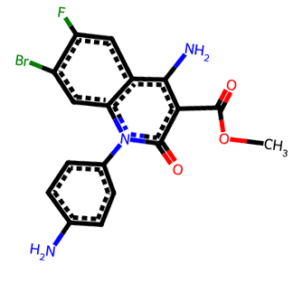 COC(=O)c1c(N)c2cc(F)c(Br)cc2n(-c2ccc(N)cc2)c1=O